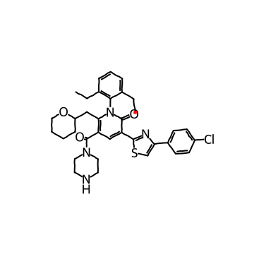 CCc1cccc(CC)c1-n1c(CC2CCCCO2)c(C(=O)N2CCNCC2)cc(-c2nc(-c3ccc(Cl)cc3)cs2)c1=O